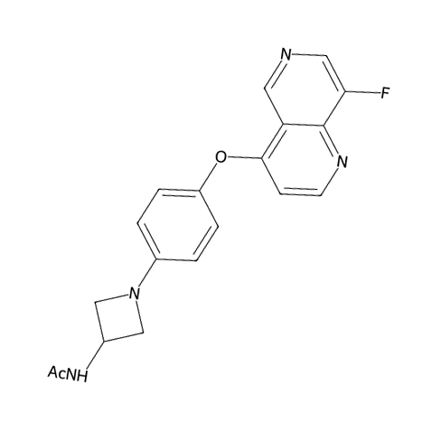 CC(=O)NC1CN(c2ccc(Oc3ccnc4c(F)cncc34)cc2)C1